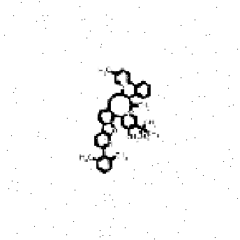 C=C1C2c3ccccc3-c3ccc(C)c[n+]3C2CCc2ccc3c(oc4nc(-c5c(C)cccc5C)ccc43)c2-c2cc(C)c(C(C)(C)C)c[n+]21